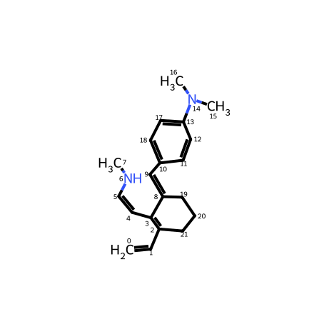 C=CC1=C(/C=C\NC)/C(=C/c2ccc(N(C)C)cc2)CCC1